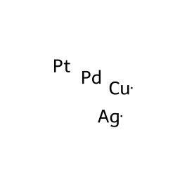 [Ag].[Cu].[Pd].[Pt]